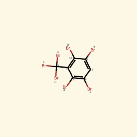 Brc1[c]c(Br)c(Br)c(C(Br)(Br)Br)c1Br